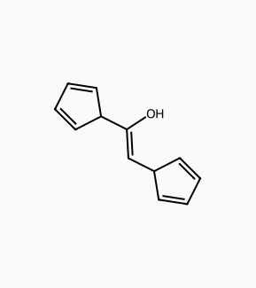 OC(=CC1C=CC=C1)C1C=CC=C1